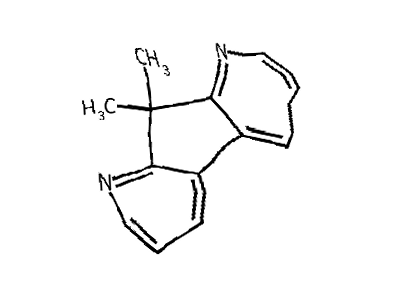 CC1(C)c2ncccc2-c2cccnc21